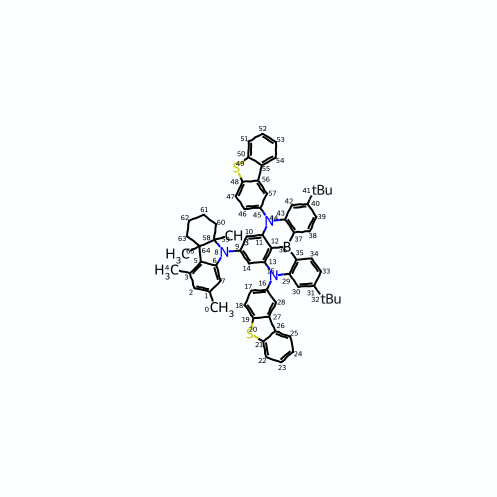 Cc1cc(C)c2c(c1)N(c1cc3c4c(c1)N(c1ccc5sc6ccccc6c5c1)c1cc(C(C)(C)C)ccc1B4c1ccc(C(C)(C)C)cc1N3c1ccc3sc4ccccc4c3c1)C1(C)CCCCC21C